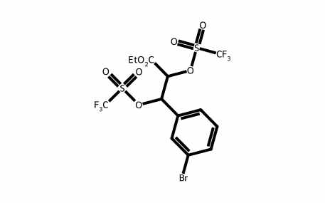 CCOC(=O)C(OS(=O)(=O)C(F)(F)F)C(OS(=O)(=O)C(F)(F)F)c1cccc(Br)c1